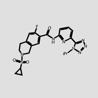 CC(C)n1nnnc1-c1cccc(NC(=O)c2cc3c(cc2F)CCN(S(=O)(=O)C2CC2)C3)n1